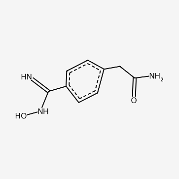 N=C(NO)c1ccc(CC(N)=O)cc1